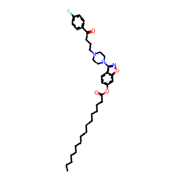 CCCCCCCCCCCCCCCC(=O)Oc1ccc2c(N3CCN(CCCC(=O)c4ccc(F)cc4)CC3)noc2c1